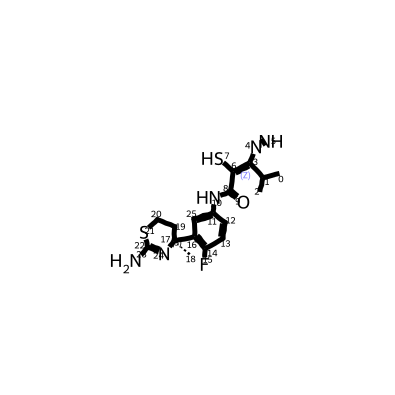 CC(C)/C(N=N)=C(/S)C(=O)Nc1ccc(F)c([C@]2(C)CCSC(N)=N2)c1